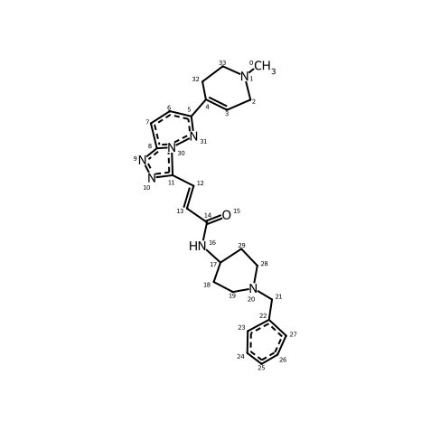 CN1CC=C(c2ccc3nnc(C=CC(=O)NC4CCN(Cc5ccccc5)CC4)n3n2)CC1